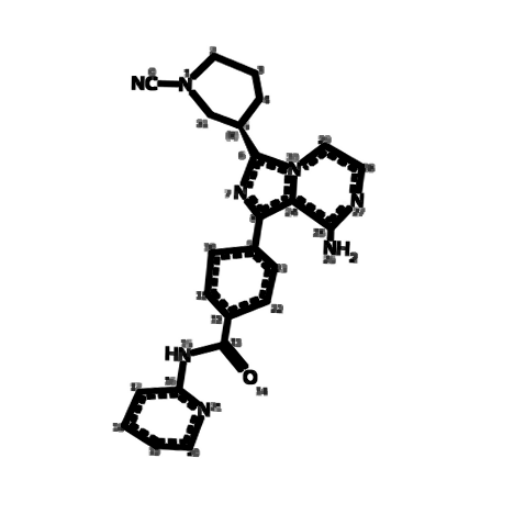 N#CN1CCC[C@@H](c2nc(-c3ccc(C(=O)Nc4ccccn4)cc3)c3c(N)nccn23)C1